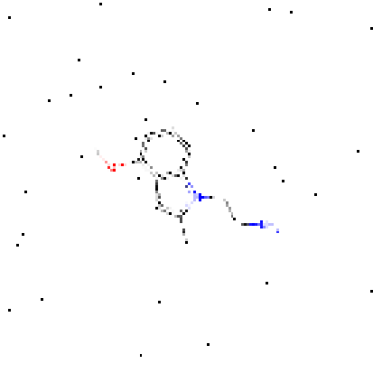 COc1cccc2c1cc(C)n2CCN